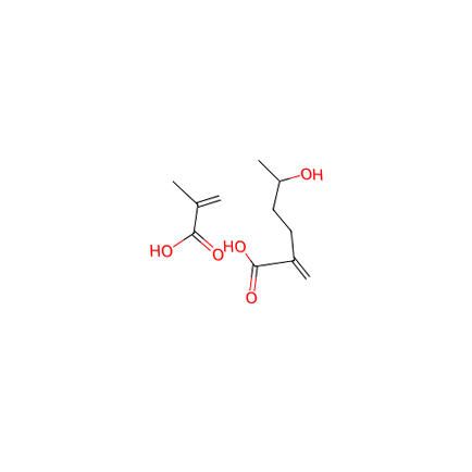 C=C(C)C(=O)O.C=C(CCC(C)O)C(=O)O